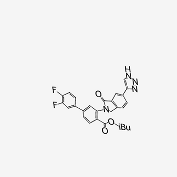 CCC(C)OC(=O)c1ccc(-c2ccc(F)c(F)c2)cc1N1Cc2ccc(-c3c[nH]nn3)cc2C1=O